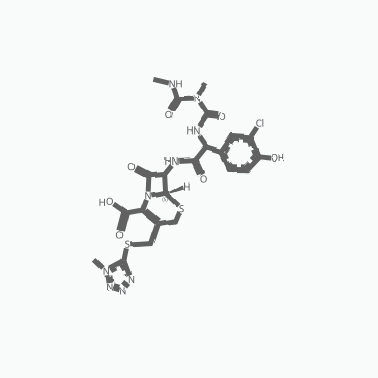 CNC(=O)N(C)C(=O)NC(C(=O)NC1C(=O)N2C(C(=O)O)=C(CSc3nnnn3C)CS[C@@H]12)c1ccc(O)c(Cl)c1